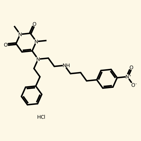 Cl.Cn1c(N(CCNCCCc2ccc([N+](=O)[O-])cc2)CCc2ccccc2)cc(=O)n(C)c1=O